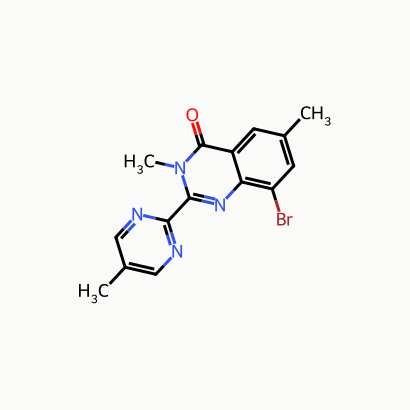 Cc1cnc(-c2nc3c(Br)cc(C)cc3c(=O)n2C)nc1